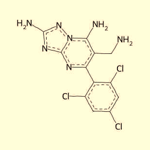 NCc1c(-c2c(Cl)cc(Cl)cc2Cl)nc2nc(N)nn2c1N